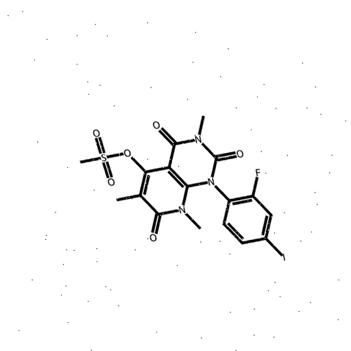 Cc1c(OS(C)(=O)=O)c2c(=O)n(C)c(=O)n(-c3ccc(I)cc3F)c2n(C)c1=O